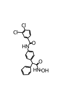 O=C(Nc1ccc(C(C(=O)NO)c2ccccc2)cc1)c1ccc(Cl)c(Cl)c1